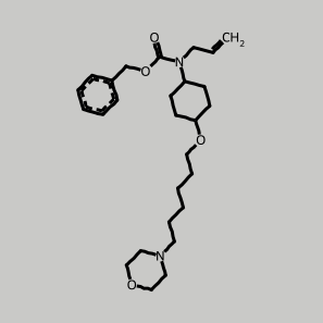 C=CCN(C(=O)OCc1ccccc1)C1CCC(OCCCCCCN2CCOCC2)CC1